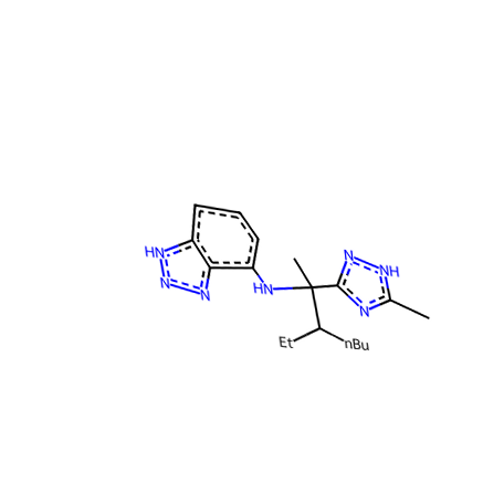 CCCCC(CC)C(C)(Nc1cccc2[nH]nnc12)c1n[nH]c(C)n1